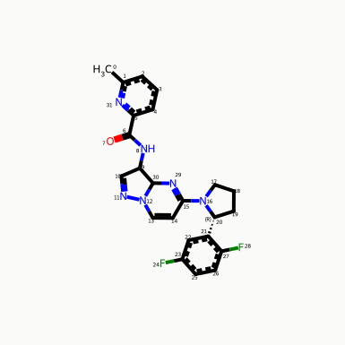 Cc1cccc(C(=O)NC2C=NN3C=CC(N4CCC[C@@H]4c4cc(F)ccc4F)=NC23)n1